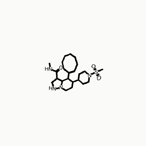 CNC(=O)C1CNN2CCC(C3CCN(S(C)(=O)=O)CC3)C(C3CCCCCCC3)C12